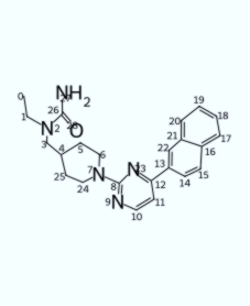 CCN(CC1CCN(c2nccc(-c3ccc4ccccc4c3)n2)CC1)C(N)=O